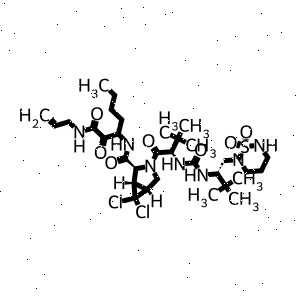 C=CCNC(=O)C(=O)C(CCCC)NC(=O)[C@@H]1[C@@H]2[C@H](CN1C(=O)[C@@H](NC(=O)N[C@H](CN1CCCNS1(=O)=O)C(C)(C)C)C(C)(C)C)C2(Cl)Cl